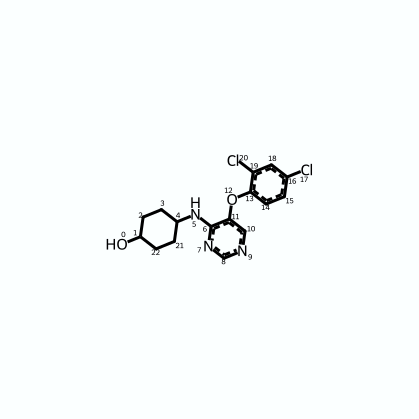 OC1CCC(Nc2ncncc2Oc2ccc(Cl)cc2Cl)CC1